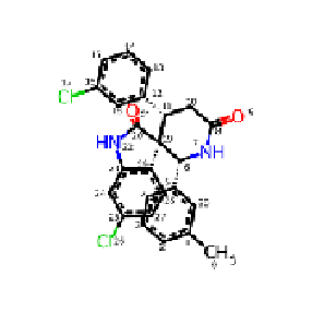 Cc1cccc([C@H]2NC(=O)C[C@@H](c3cccc(Cl)c3)[C@]23C(=O)Nc2cc(Cl)ccc23)c1